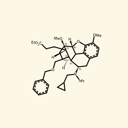 CCCN(CC1CC1)[C@@H]1Cc2ccc(OC)c3c2C2[C@@H](O3)[C@@]3(OC)CC[C@]21[C@@H](COCc1ccccc1)[C@@H]3CCC(=O)OCC